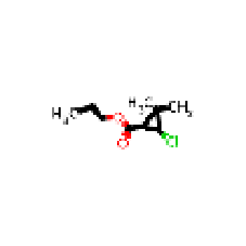 CCCOC(=O)C1C(Cl)C1(C)C